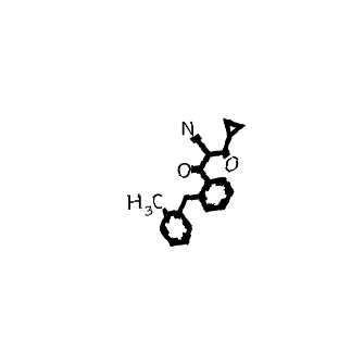 Cc1ccccc1Cc1ccccc1C(=O)C(C#N)C(=O)C1CC1